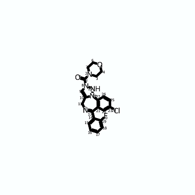 O=C(N1CCOCC1)N1C=C2CN=C(c3ccccc3F)c3cc(Cl)ccc3N2N1